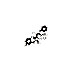 CC(C)C1N[C@@H]([C@@H](O)[C@H](Cc2ccccc2)N(C(=O)O)C(C)(C)C)C(=O)N1Cc1cccc(F)c1